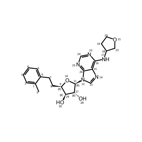 Cc1ccccc1CC[C@H]1O[C@@H](n2cnc3c(NC4CCOC4)ncnc32)[C@H](O)[C@H]1O